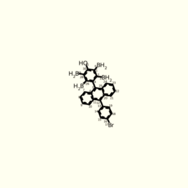 Bc1c(B)c(-c2c3ccccc3c(-c3ccc(Br)cc3)c3ccccc23)c(B)c(B)c1O